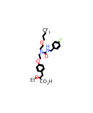 CCOC(Cc1ccc(OCCN(CCOCCCC(F)(F)F)C(=O)NCc2ccc(F)cc2)cc1)C(=O)O